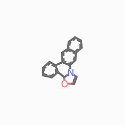 C1=CN2c3cc4ccccc4cc3-c3ccccc3C2O1